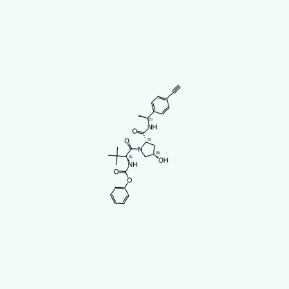 C#Cc1ccc([C@H](C)NC(=O)[C@@H]2C[C@@H](O)CN2C(=O)[C@@H](NC(=O)Oc2ccccc2)C(C)(C)C)cc1